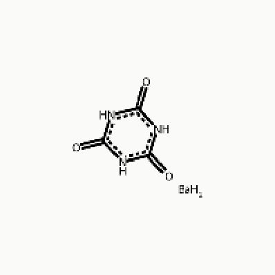 O=c1[nH]c(=O)[nH]c(=O)[nH]1.[BaH2]